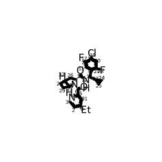 CCc1ccnc(C(=O)N2[C@@H](C(=O)NC(c3cc(F)c(Cl)cc3F)C3CC3)C[C@H]3CC[C@H]32)c1